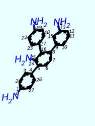 Nc1ccc(-c2ccc(-c3cccc(N)c3)c(-c3ccc(N)cc3)c2N)cc1